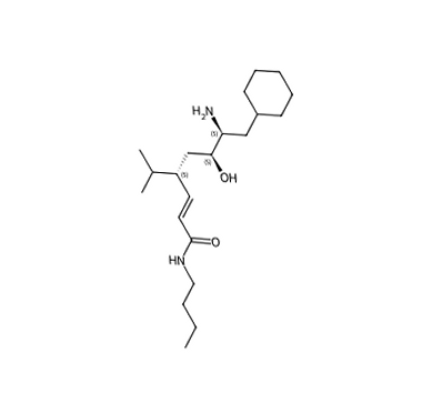 CCCCNC(=O)C=C[C@@H](C[C@H](O)[C@@H](N)CC1CCCCC1)C(C)C